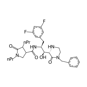 CCCC1C(=O)N(CCC)CC1C(=O)N[C@@H](Cc1cc(F)cc(F)c1)[C@H](O)[C@@H]1NCCN(Cc2ccccc2)C1=O